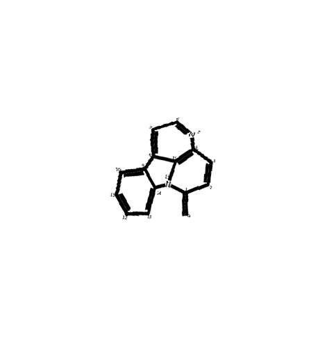 C=c1ccc2nccc3c4ccccc4n1c23